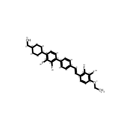 CCOc1ccc(/C=C/c2ccc(-c3ccc(C4CCC(CO)CC4)c(F)c3F)cc2)c(F)c1F